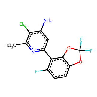 Nc1cc(-c2c(F)ccc3c2OC(F)(F)O3)nc(C(=O)O)c1Cl